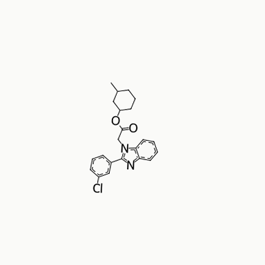 CC1CCCC(OC(=O)Cn2c(-c3cccc(Cl)c3)nc3ccccc32)C1